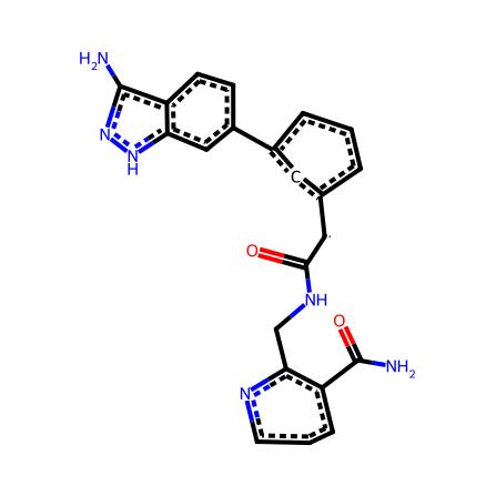 NC(=O)c1cccnc1CNC(=O)[CH]c1cccc(-c2ccc3c(N)n[nH]c3c2)c1